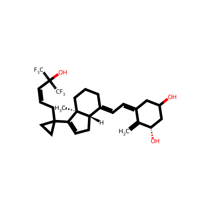 C=C1/C(=C\C=C2/CCC[C@]3(C)C(C4(C/C=C\C(O)(C(F)(F)F)C(F)(F)F)CC4)=CC[C@@H]23)CC(O)C[C@@H]1O